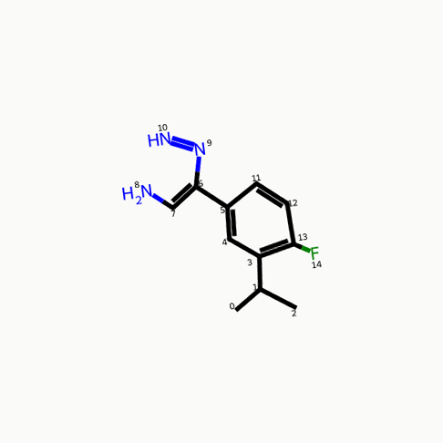 CC(C)c1cc(/C(=C/N)N=N)ccc1F